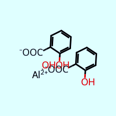 O=C([O-])c1ccccc1O.O=C([O-])c1ccccc1O.[OH][Al+2]